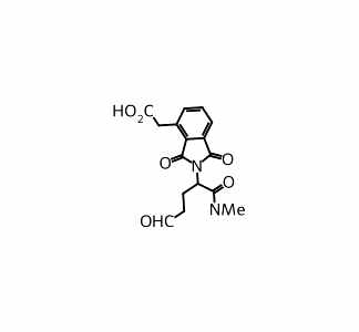 CNC(=O)C(CCC=O)N1C(=O)c2cccc(CC(=O)O)c2C1=O